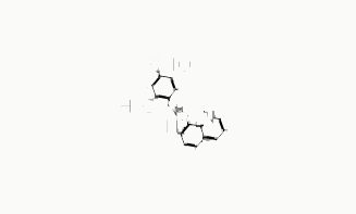 Cc1cc(C=O)ccc1NSc1cccc2cccnc12